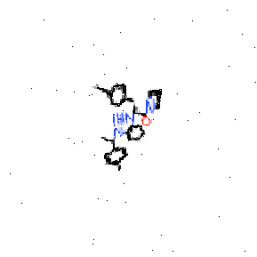 Cc1ccc(C[C@H](Nc2ccccc2NC(C)c2ccc(C)cc2)C(=O)N2CCC2)cc1